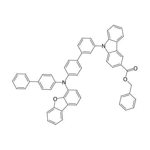 O=C(OCc1ccccc1)c1ccc2c(c1)c1ccccc1n2-c1cccc(-c2ccc(N(c3ccc(-c4ccccc4)cc3)c3cccc4c3oc3ccccc34)cc2)c1